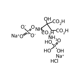 Cl.N.N.O=C(O)CC(O)(CC(=O)O)C(=O)O.O=P(O)(O)O.O=S(=O)([O-])[O-].[Na+].[Na+]